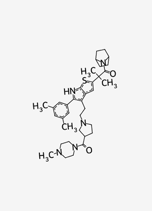 Cc1cc(C)cc(-c2[nH]c3sc(C(C)(C)C(=O)N4C5CCC4CC5)cc3c2CCN2CCC(C(=O)N3CCN(C)CC3)C2)c1